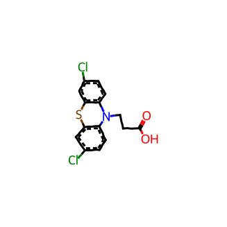 O=C(O)CCN1c2ccc(Cl)cc2Sc2cc(Cl)ccc21